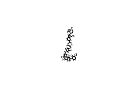 CC[C@@]12CNc3nnc(-c4cccc(Cl)c4O)cc3N1C[C@H](Oc1cc(C)c(CN3CCC(c4ccc5c(c4)C(=O)N([C@H]4CCC(=O)NC4=O)C5)CC3)cn1)C2